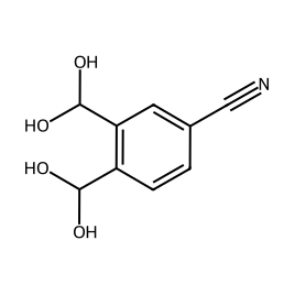 N#Cc1ccc(C(O)O)c(C(O)O)c1